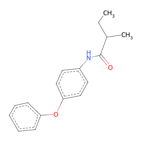 CCC(C)C(=O)Nc1ccc(Oc2ccccc2)cc1